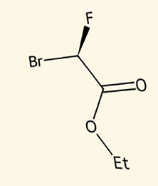 CCOC(=O)[C@H](F)Br